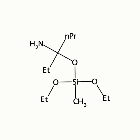 CCCC(N)(CC)O[Si](C)(OCC)OCC